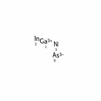 [As-3].[Ga+3].[In].[N]